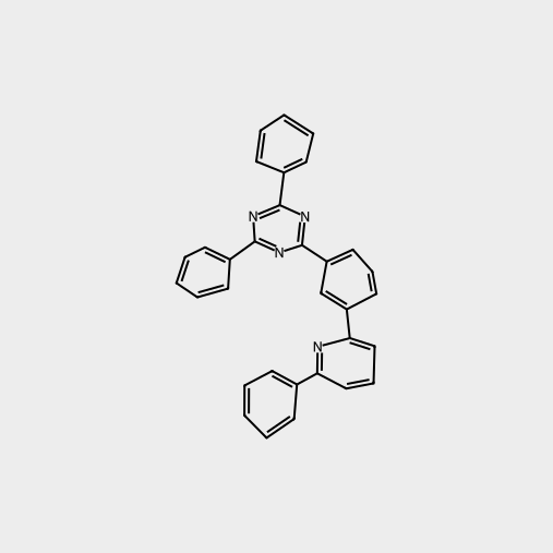 c1ccc(-c2cccc(-c3cccc(-c4nc(-c5ccccc5)nc(-c5ccccc5)n4)c3)n2)cc1